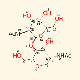 CC(=O)N[C@@H]1COC(CO)[C@@H](O[C@@H]2OC(CO)[C@@H](O)C(O)[C@@H]2NC(C)=O)C1O